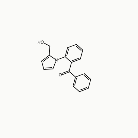 O=C(c1ccccc1)c1ccccc1-n1cccc1CO